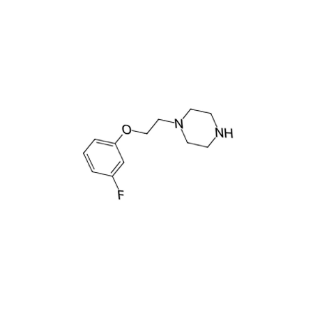 Fc1cccc(OCCN2CCNCC2)c1